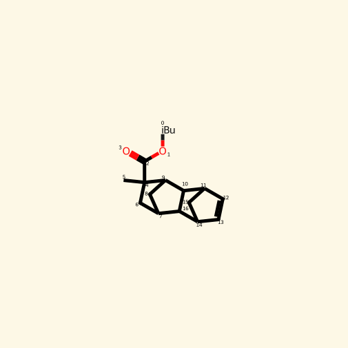 CCC(C)OC(=O)C1(C)CC2CC1C1C3C=CC(C3)C21